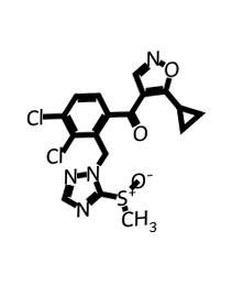 C[S+]([O-])c1ncnn1Cc1c(C(=O)c2cnoc2C2CC2)ccc(Cl)c1Cl